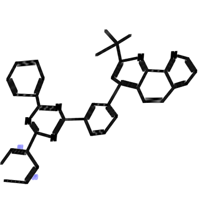 C/C=C\C(=C/C)c1nc(-c2ccccc2)nc(-c2cccc(-c3cc(C(C)(C)C)nc4c3ccc3cccnc34)c2)n1